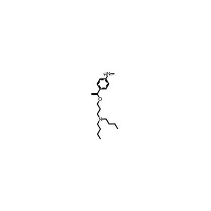 C=C(OCCCN(CCCC)CCCC)c1ccc(NC)cc1